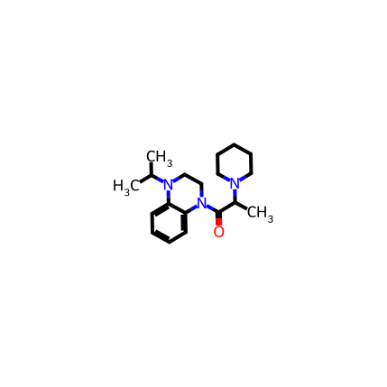 CC(C(=O)N1CCN(C(C)C)c2ccccc21)N1CCCCC1